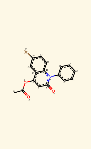 CC(=O)Oc1cc(=O)n(-c2ccccc2)c2ccc(Br)cc12